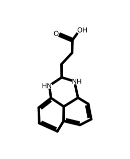 O=C(O)CCC1NC2=CC=CC3=CC=CC(N1)C32